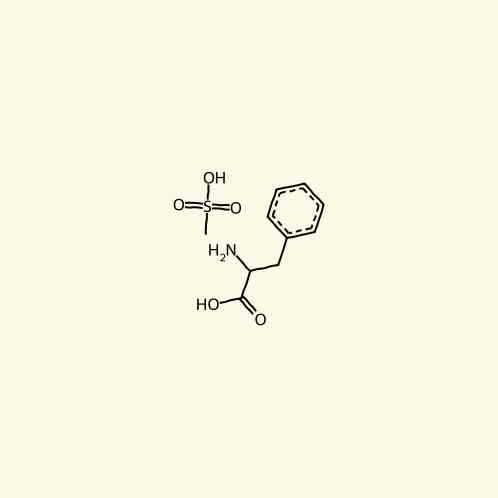 CS(=O)(=O)O.NC(Cc1ccccc1)C(=O)O